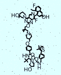 CCc1c(F)ccc2cc(O)cc(-c3ncc4c(N5CCCC(C)(O)C5)nc(OCC5(CN6CCC(COc7ccc(C(=O)N[C@H](C(=O)N8C[C@H](O)C[C@H]8C(=O)N[C@@H](C)c8ccc(-c9scnc9C)cc8)C(C)(C)C)cc7)CC6)CC5)nc4c3F)c12